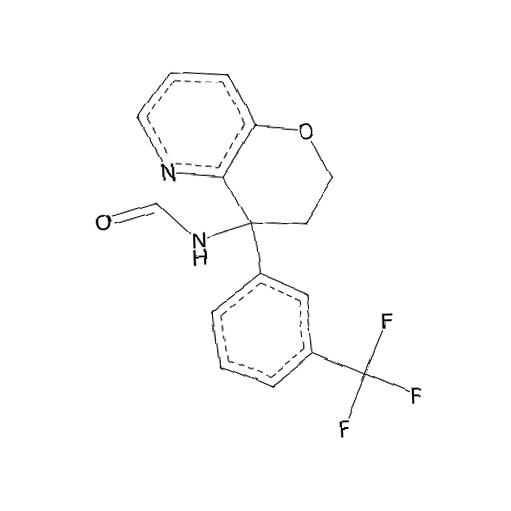 O=CNC1(c2cccc(C(F)(F)F)c2)CCOc2cccnc21